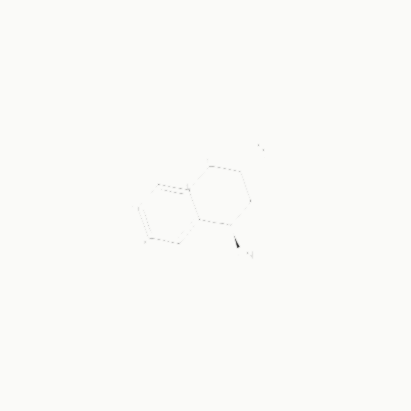 N#C[C@@H]1C[C@@H](N)Cc2ccccc21